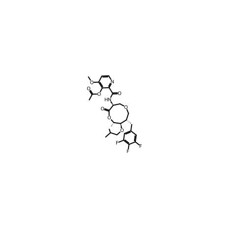 COc1ccnc(C(=O)N[C@H]2COC[C@H](Cc3cc(F)c(F)c(F)c3)[C@@H](OCC(C)C)[C@H](C)OC2=O)c1OC(C)=O